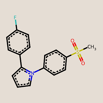 CS(=O)(=O)c1ccc(-n2cccc2-c2ccc(F)cc2)cc1